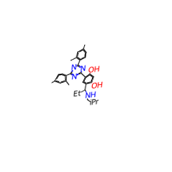 CCC(NCC(C)C)c1cc(-c2nc(-c3ccc(C)cc3C)nc(-c3ccc(C)cc3C)n2)c(O)cc1O